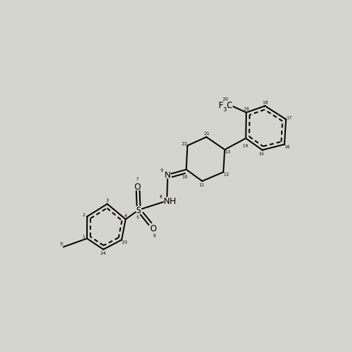 Cc1ccc(S(=O)(=O)NN=C2CCC(c3ccccc3C(F)(F)F)CC2)cc1